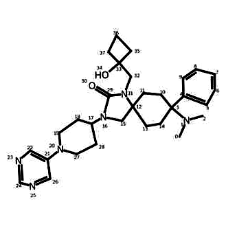 CN(C)C1(c2ccccc2)CCC2(CC1)CN(C1CCN(c3cncnc3)CC1)C(=O)N2CC1(O)CCC1